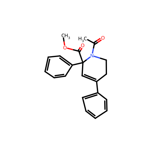 COC(=O)C1(c2ccccc2)C=C(c2ccccc2)CCN1C(C)=O